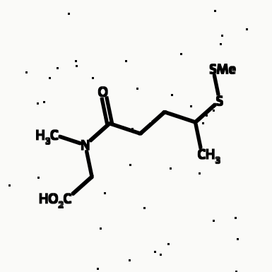 CSSC(C)CCC(=O)N(C)CC(=O)O